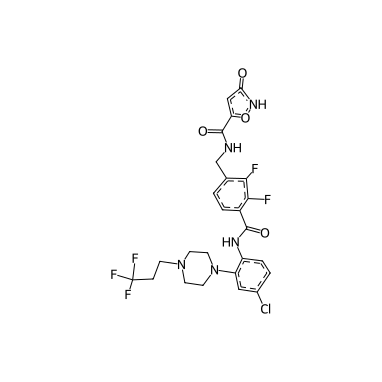 O=C(NCc1ccc(C(=O)Nc2ccc(Cl)cc2N2CCN(CCC(F)(F)F)CC2)c(F)c1F)c1cc(=O)[nH]o1